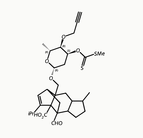 C#CCO[C@H]1[C@@H](OC(=S)SC)C[C@H](OCC23CC4C(C)CCC4C4(C=O)CC2C=C(C(C)C)C43C(=O)O)O[C@@H]1C